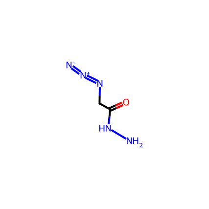 [N-]=[N+]=NCC(=O)NN